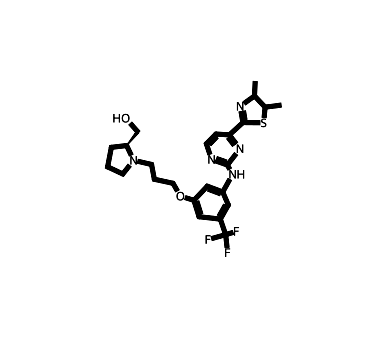 CC1N=C(c2ccnc(Nc3cc(OCCCN4CCC[C@H]4CO)cc(C(F)(F)F)c3)n2)SC1C